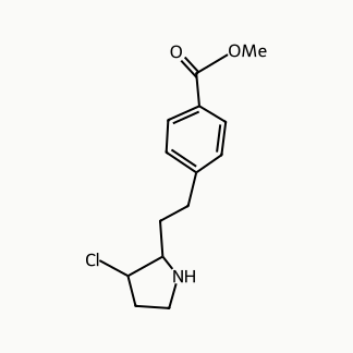 COC(=O)c1ccc(CCC2NCCC2Cl)cc1